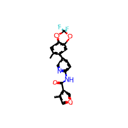 Cc1cocc1C(=O)Nc1ccc(-c2cc3c(cc2C)OC(F)(F)O3)cn1